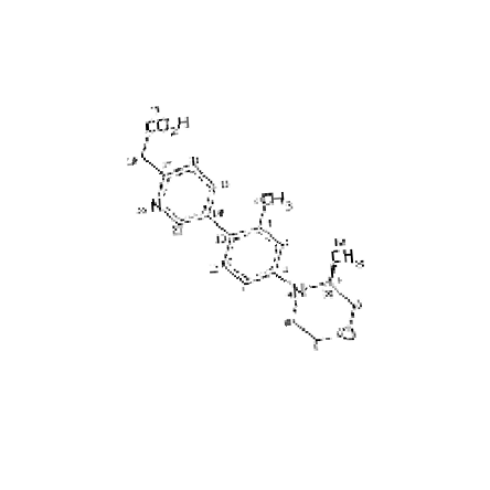 Cc1cc(N2CCOC[C@@H]2C)ccc1-c1ccc(CC(=O)O)nc1